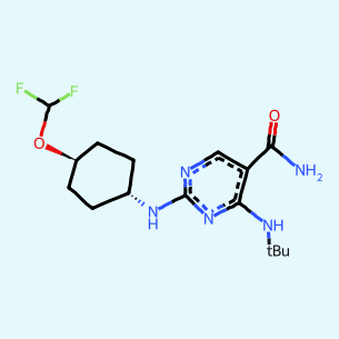 CC(C)(C)Nc1nc(N[C@H]2CC[C@H](OC(F)F)CC2)ncc1C(N)=O